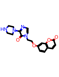 O=c1ccc2ccc(OCCn3ccnc(N4CCNCC4)c3=O)cc2o1